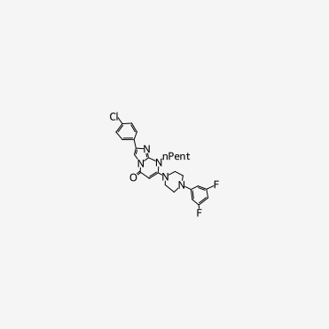 CCCCCn1c(N2CCN(c3cc(F)cc(F)c3)CC2)cc(=O)n2cc(-c3ccc(Cl)cc3)nc12